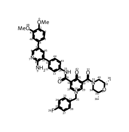 COc1ccc(-c2cnc(N)c(-c3ccc(NC(=O)c4cn(Cc5ccc(F)cc5)cc(C(=O)N5C[C@@H](C)O[C@@H](C)C5)c4=O)cc3)c2)cc1OC